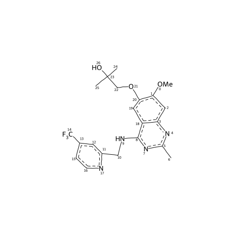 COc1cc2nc(C)nc(NCc3cc(C(F)(F)F)ccn3)c2cc1OCC(C)(C)O